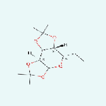 CC[C@@H]1OC2OC(C)(C)O[C@H]2C2OC(C)(C)O[C@@H]21